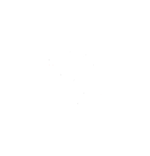 O=C(O)c1ccccc1.OCc1ccco1